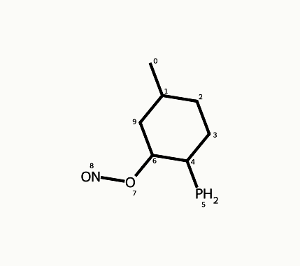 CC1CCC(P)C(ON=O)C1